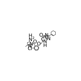 CC1=NN(C(=O)c2c(Cl)cccc2OCc2cc(=O)n3nc(C4=CCCCC4)nc3[nH]2)C(N)C1